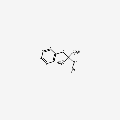 CC(C)OC(Cc1ccccc1)(C(=O)O)C(=O)O